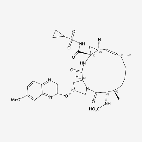 COc1ccc2ncc(O[C@@H]3C[C@H]4C(=O)N[C@]5(C(=O)NS(=O)(=O)C6CC6)C[C@H]5C=C[C@H](C)CCC[C@@H](C)[C@H](NC(=O)O)C(=O)N4C3)nc2c1